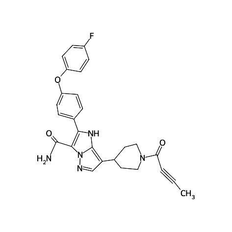 CC#CC(=O)N1CCC(c2cnn3c(C(N)=O)c(-c4ccc(Oc5ccc(F)cc5)cc4)[nH]c23)CC1